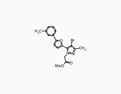 COC(=O)Cn1nc(C)c(Br)c1-c1ccc(-c2cccc(C)c2)o1